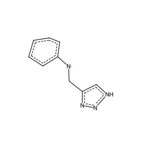 c1ccc([N]Cc2c[nH]nn2)cc1